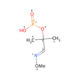 CON=CC(C)(C)O[PH](=O)O